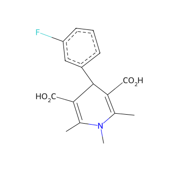 CC1=C(C(=O)O)C(c2cccc(F)c2)C(C(=O)O)=C(C)N1C